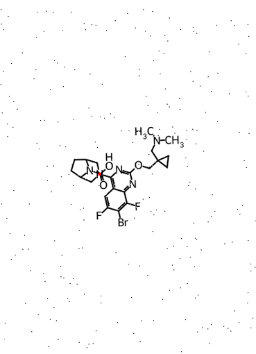 CN(C)CC1(COc2nc(N3CC4CCC(C3)N4C(=O)O)c3cc(F)c(Br)c(F)c3n2)CC1